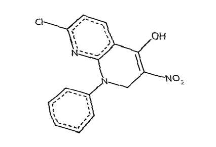 O=[N+]([O-])C1=C(O)c2ccc(Cl)nc2N(c2ccccc2)C1